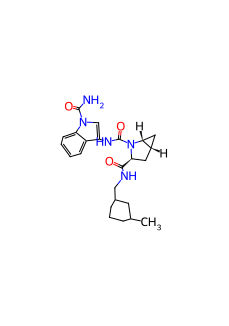 CC1CCCC(CNC(=O)[C@@H]2C[C@H]3C[C@H]3N2C(=O)Nc2cn(C(N)=O)c3ccccc23)C1